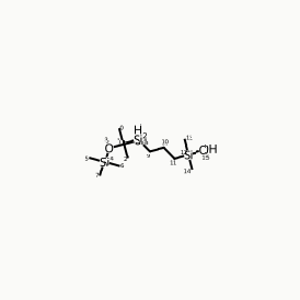 CC(C)(O[Si](C)(C)C)[SiH2]CCC[Si](C)(C)O